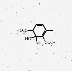 CC1=C(C(=O)O)C(N)(O)C(C(=O)O)C=C1